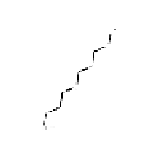 CCCCCCCCOCCCOCC